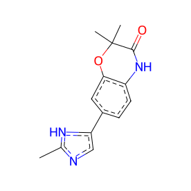 Cc1ncc(-c2ccc3c(c2)OC(C)(C)C(=O)N3)[nH]1